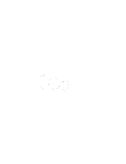 COC(=O)c1cc2nc(C[S+](C)[O-])[nH]c2c(Cl)c1N